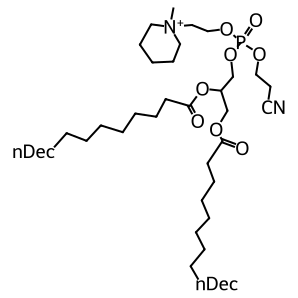 CCCCCCCCCCCCCCCCCC(=O)OCC(COP(=O)(OCCC#N)OCC[N+]1(C)CCCCC1)OC(=O)CCCCCCCCCCCCCCCCC